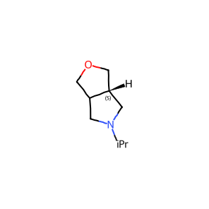 CC(C)N1CC2COC[C@@H]2C1